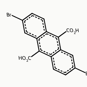 O=C(O)c1c2ccc(Br)cc2c(C(=O)O)c2ccc(Br)cc12